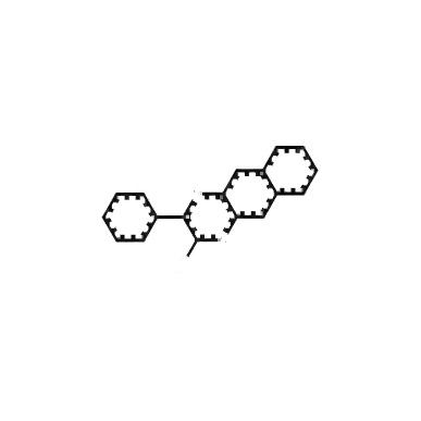 Cc1nc2cc3ccccc3cc2nc1-c1ccccc1